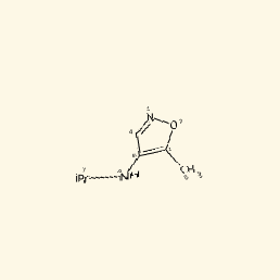 Cc1oncc1NC(C)C